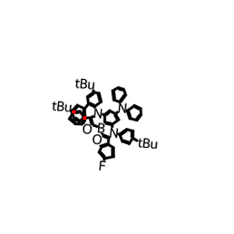 CC(C)(C)c1ccc(N2c3cc(N(c4ccccc4)c4ccccc4)cc4c3B(c3oc5cc(F)ccc5c32)c2oc3ccc(C(C)(C)C)cc3c2N4c2ccc(C(C)(C)C)cc2-c2ccccc2)cc1